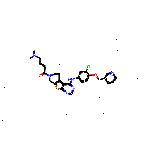 CN(C)CC=CC(=O)N1CCc2c(sc3ncnc(Nc4ccc(OCc5cccnc5)c(Cl)c4)c23)C1